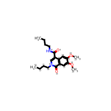 CCCCNC(=O)c1cn(CCCC)c(=O)c2cc(OC)c(OC)cc12